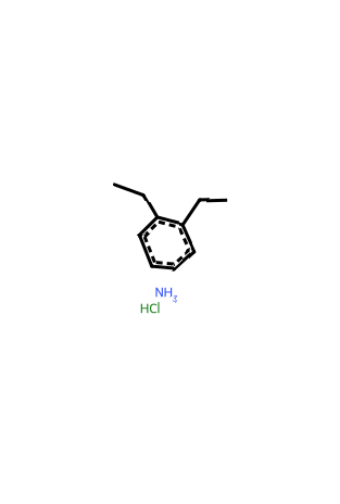 CCc1ccccc1CC.Cl.N